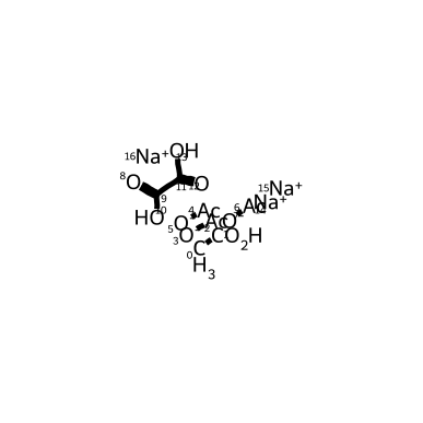 CC(=O)O.CC(=O)[O-].CC(=O)[O-].CC(=O)[O-].O=C(O)C(=O)O.[Na+].[Na+].[Na+]